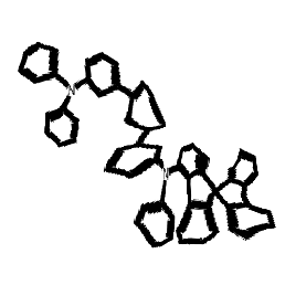 C1=CC(C2C=CC=C(N(c3ccccc3)c3cccc4c3-c3ccccc3C43c4ccccc4-c4ccccc43)C2)CC(C2=CC=CC(N(c3ccccc3)c3ccccc3)C2)=C1